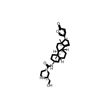 C[C@]12CC[C@H](NC(=O)N3CCN[C@H](CO)C3)C[C@H]1CC[C@H]1C3=CC[C@H](c4ccc(=O)oc4)[C@@]3(C)CC[C@@H]12